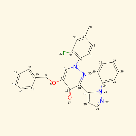 Cc1ccc(-n2cc(OCc3ccccc3)c(=O)c(-c3ccnn3-c3ccccc3)n2)c(F)c1